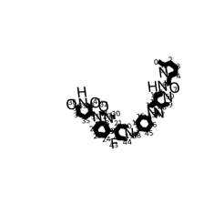 Cc1cccc(C(=O)Nc2cc3cn([C@H]4CC[C@H](CN5CC[C@H](c6cccc7c6n(C)c(=O)n7C6CCC(=O)NC6=O)[C@H](F)C5)CC4)nc3cn2)n1